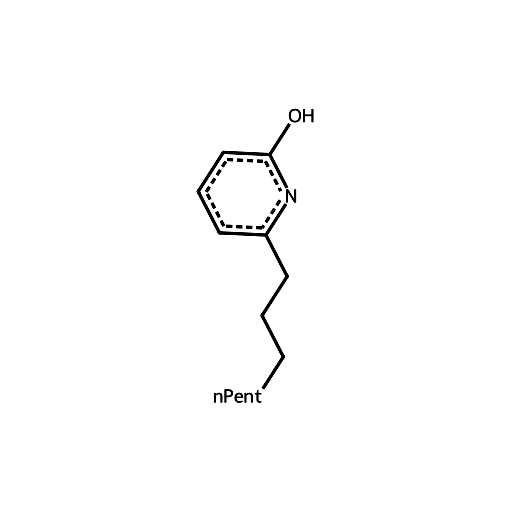 CCCCCCCCc1cccc(O)n1